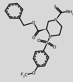 NC(=S)N1CCN(S(=O)(=O)c2ccc(OC(F)(F)F)cc2)[C@@H](C(=O)OCc2ccccc2)C1